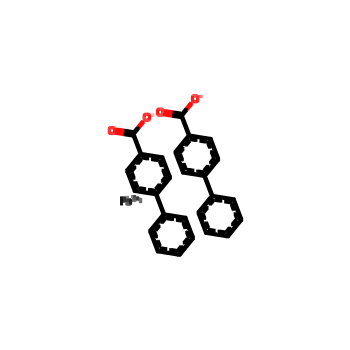 O=C([O-])c1ccc(-c2ccccc2)cc1.O=C([O-])c1ccc(-c2ccccc2)cc1.[Pb+2]